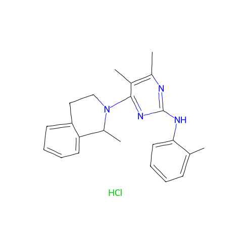 Cc1ccccc1Nc1nc(C)c(C)c(N2CCc3ccccc3C2C)n1.Cl